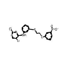 O=[N+]([O-])c1cccc(OCCSc2cccc(Nc3nc(Cl)ncc3Cl)c2)c1